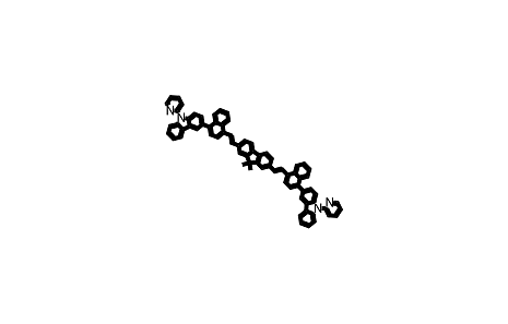 CC1(C)c2cc(/C=C/c3ccc(-c4ccc5c(c4)c4ccccc4n5-c4ccccn4)c4ccccc34)ccc2-c2ccc(/C=C/c3ccc(-c4ccc5c(c4)c4ccccc4n5-c4ccccn4)c4ccccc34)cc21